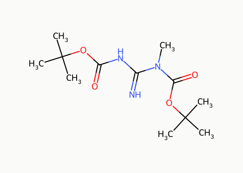 CN(C(=N)NC(=O)OC(C)(C)C)C(=O)OC(C)(C)C